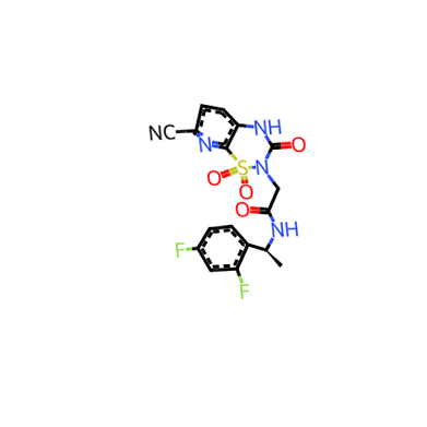 C[C@H](NC(=O)CN1C(=O)Nc2ccc(C#N)nc2S1(=O)=O)c1ccc(F)cc1F